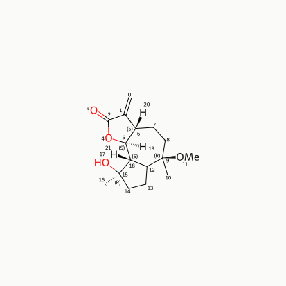 C=C1C(=O)O[C@H]2[C@H]1CC[C@@](C)(OC)C1CC[C@@](C)(O)[C@@H]12